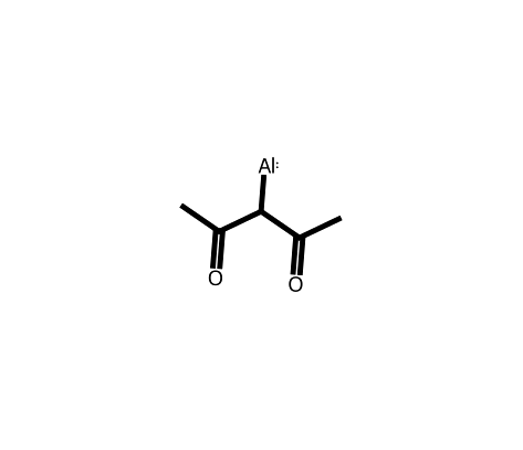 CC(=O)[CH]([Al])C(C)=O